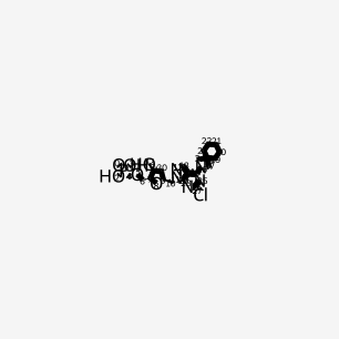 O=P(O)(O)COC[C@H]1O[C@H](Cn2ncc3c(N4CC5(CCCCC5)C4)nc(Cl)nc32)C[C@@H]1O